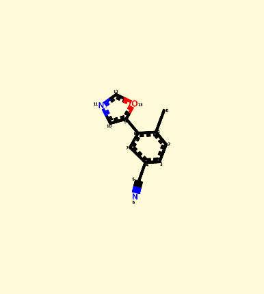 Cc1ccc(C#N)cc1-c1cnco1